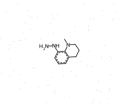 CN1CCCc2cccc(NN)c21